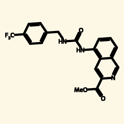 COC(=O)c1cc2c(NC(=O)NCc3ccc(C(F)(F)F)cc3)cccc2cn1